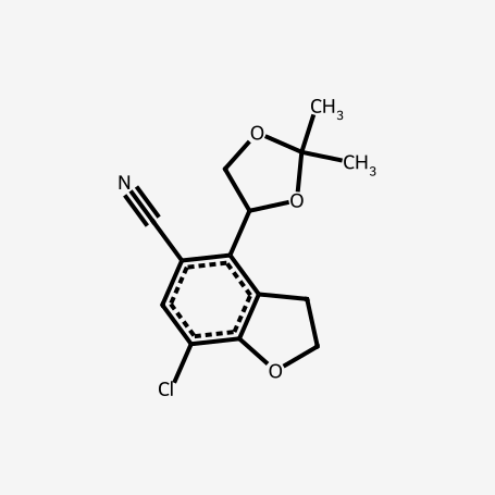 CC1(C)OCC(c2c(C#N)cc(Cl)c3c2CCO3)O1